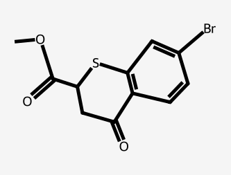 COC(=O)C1CC(=O)c2ccc(Br)cc2S1